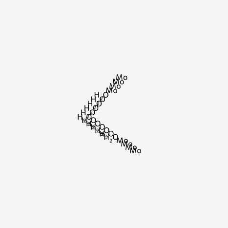 O.O.O.O.O.O.O.O.O.O.O.O.[Mo].[Mo].[Mo].[Mo].[Mo].[Mo].[Mo].[Mo]